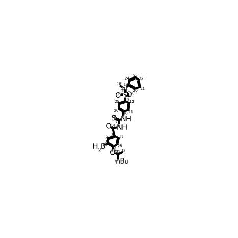 Bc1cc(C(=O)NC(=S)Nc2ccc(S(=O)(=O)N(C)c3ccccc3)cc2)ccc1OC(C)CCCC